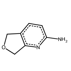 Nc1ccc2c(n1)COC2